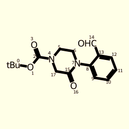 CC(C)(C)OC(=O)N1CCN(c2ccccc2C=O)C(=O)C1